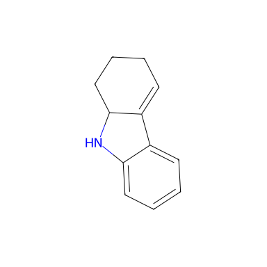 C1=C2c3ccccc3NC2CCC1